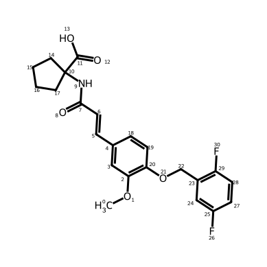 COc1cc(/C=C/C(=O)NC2(C(=O)O)CCCC2)ccc1OCc1cc(F)ccc1F